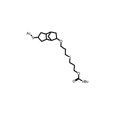 CCCCC(=O)OCCCSCCCOC1CC2CC1C1CC(SC(C)=O)CC21